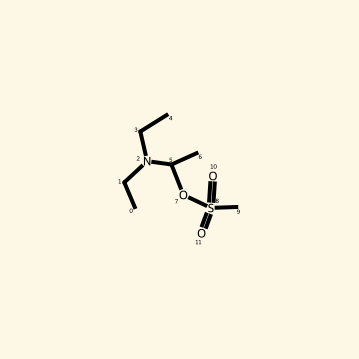 CCN(CC)C(C)OS(C)(=O)=O